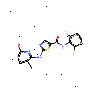 Cc1ccc(Br)nc1Nc1ncc(C(=O)Nc2c(F)cccc2F)s1